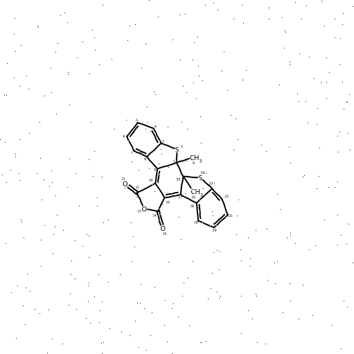 CC12Sc3ccccc3C1=C1C(=O)OC(=O)C1=C1c3ccccc3SC12C